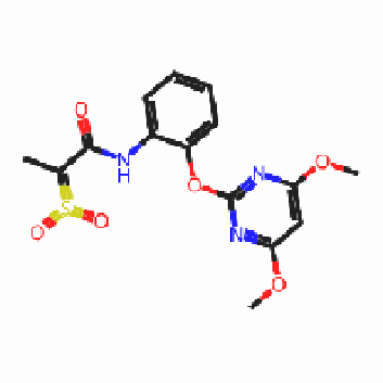 COc1cc(OC)nc(Oc2ccccc2NC(=O)C(C)=S(=O)=O)n1